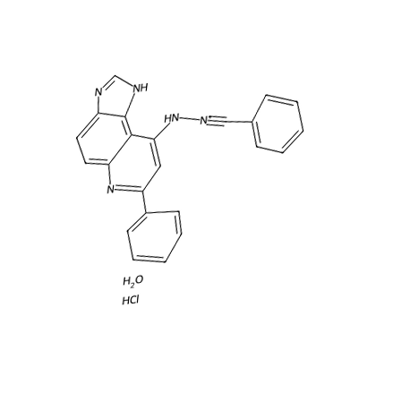 C(#[N+]Nc1cc(-c2ccccc2)nc2ccc3nc[nH]c3c12)c1ccccc1.Cl.O